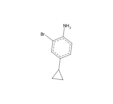 Nc1ccc(C2CC2)cc1Br